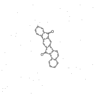 O=c1c2ccccc2c2cc3c(=O)c4c5ccccc5ccc4c3cc12